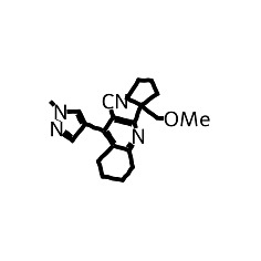 COCC1(c2nc3c(c(-c4cnn(C)c4)c2C#N)CCCC3)CCCC1